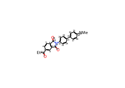 CCC(=O)c1ccc2c(c1)C(=O)N(c1ccc(-c3ccc(NC)cc3)cc1)C2=O